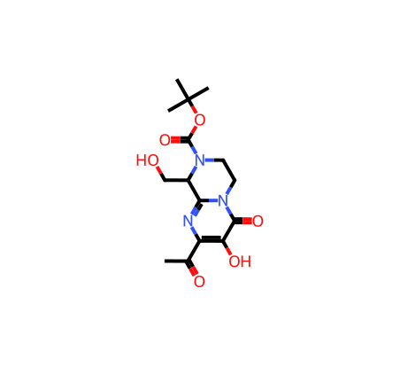 CC(=O)c1nc2n(c(=O)c1O)CCN(C(=O)OC(C)(C)C)C2CO